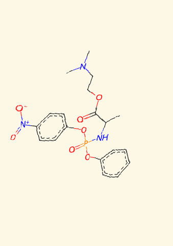 CC(NP(=O)(Oc1ccccc1)Oc1ccc([N+](=O)[O-])cc1)C(=O)OCCN(C)C